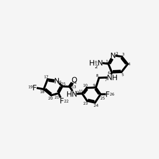 Nc1ncccc1NCc1cc(NC(=O)c2ncc(F)cc2F)ccc1F